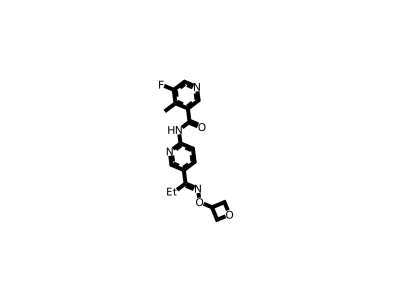 CCC(=NOC1COC1)c1ccc(NC(=O)c2cncc(F)c2C)nc1